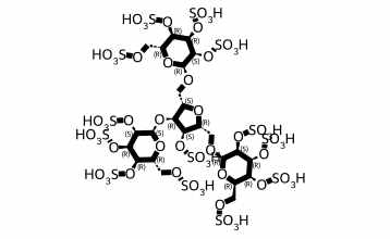 O=S(=O)(O)OC[C@H]1O[C@@H](OC[C@@H]2O[C@H](CO[C@@H]3O[C@H](COS(=O)(=O)O)[C@@H](OS(=O)(=O)O)[C@@H](OS(=O)(=O)O)[C@@H]3OS(=O)(=O)O)[C@H](OS(=O)(=O)O)[C@@H]2O[C@@H]2O[C@H](COS(=O)(=O)O)[C@@H](OS(=O)(=O)O)[C@@H](OS(=O)(=O)O)[C@@H]2OS(=O)(=O)O)[C@@H](OS(=O)(=O)O)[C@H](OS(=O)(=O)O)[C@@H]1OS(=O)(=O)O